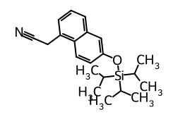 CC(C)[Si](Oc1ccc2c(CC#N)cccc2c1)(C(C)C)C(C)C